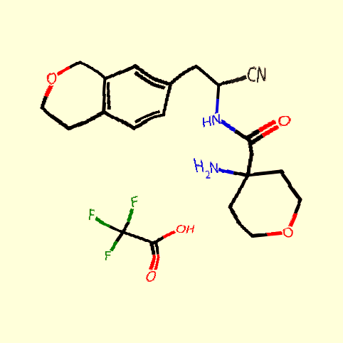 N#CC(Cc1ccc2c(c1)COCC2)NC(=O)C1(N)CCOCC1.O=C(O)C(F)(F)F